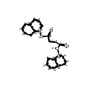 O=C(/C=C/C(=O)O[n+]1cccc2ccccc21)O[n+]1cccc2ccccc21